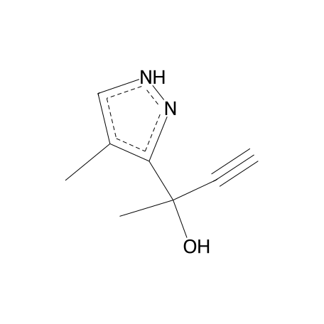 C#CC(C)(O)c1n[nH]cc1C